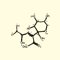 CCC(O)C(O)/C=C(\C(=O)C=O)C1(O)OCC(O)C(O)C1O